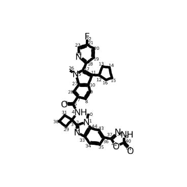 Cn1c(C2(NC(=O)c3ccc4c(C5CCCC5)c(-c5ccc(F)cn5)n(C)c4c3)CCC2)nc2ccc(-c3n[nH]c(=O)o3)cc21